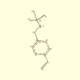 C=Cc1ccc(CSC(C)(C)C)cc1